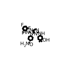 CC1(C)CC[C@@H](Nc2ncc3nc(Nc4c(F)cc(F)cc4F)n([C@H]4CC[C@H](C(N)=O)CC4)c3n2)C[C@H]1O